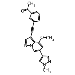 COc1cc(-c2cnn(C)c2)cn2ncc(C#Cc3cccc(C(C)=O)c3)c12